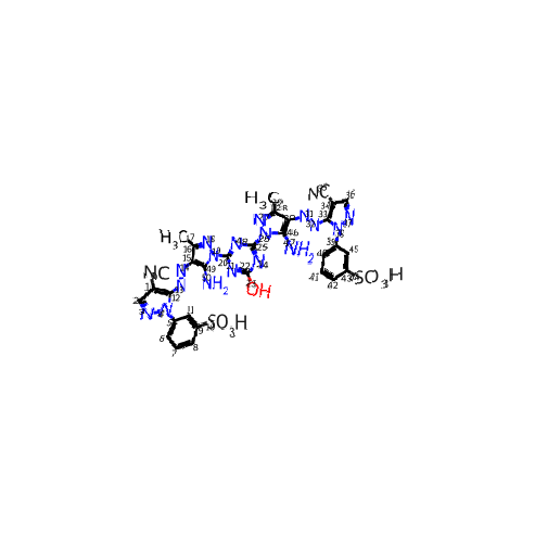 [C-]#[N+]c1cnn(-c2cccc(S(=O)(=O)O)c2)c1N=Nc1c(C)nn(-c2nc(O)nc(-n3nc(C)c(N=Nc4c(C#N)cnn4-c4cccc(S(=O)(=O)O)c4)c3N)n2)c1N